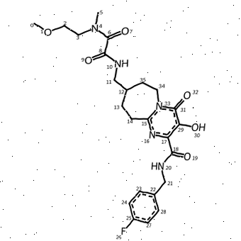 COCCN(C)C(=O)C(=O)NCC1CCc2nc(C(=O)NCc3ccc(F)cc3)c(O)c(=O)n2CC1